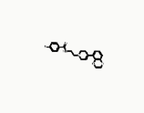 O=C(NCCN1CC=C(c2cccc3c2OCCO3)CC1)c1ccc(F)cc1